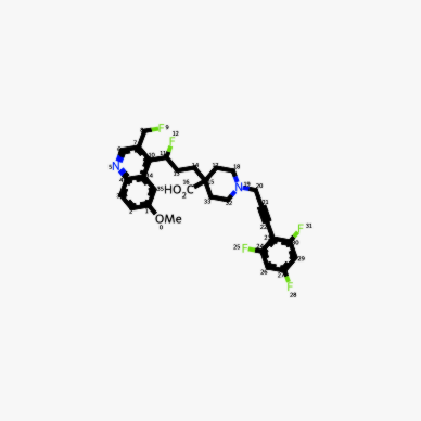 COc1ccc2ncc(CF)c(C(F)CCC3(C(=O)O)CCN(CC#Cc4c(F)cc(F)cc4F)CC3)c2c1